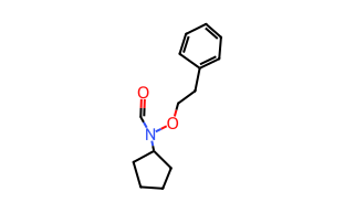 O=CN(OCCc1ccccc1)C1CCCC1